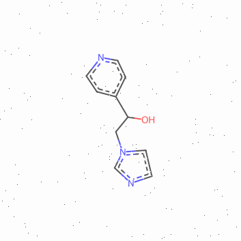 OC(Cn1ccnc1)c1ccncc1